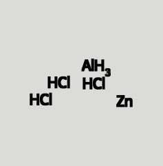 Cl.Cl.Cl.[AlH3].[Zn]